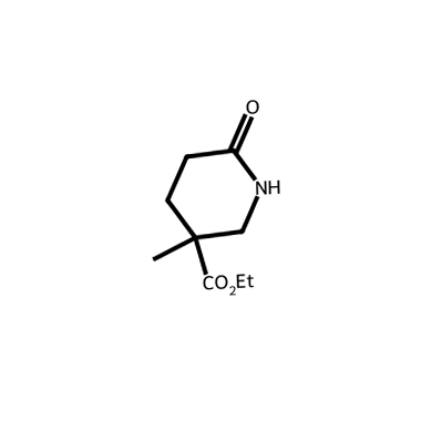 CCOC(=O)C1(C)CCC(=O)NC1